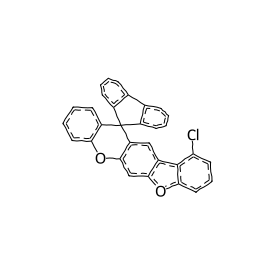 Clc1cccc2oc3cc4c(cc3c12)C1(c2ccccc2O4)c2ccccc2-c2ccccc21